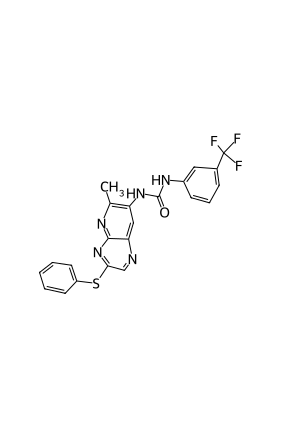 Cc1nc2nc(Sc3ccccc3)cnc2cc1NC(=O)Nc1cccc(C(F)(F)F)c1